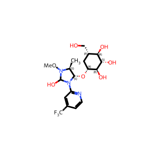 CON1C(O)N(c2cc(C(F)(F)F)ccn2)[C@@H](O[C@@H]2C[C@H](CO)[C@@H](O)[C@H](O)[C@H]2O)[C@@H]1C